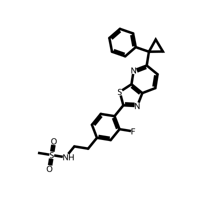 CS(=O)(=O)NCCc1ccc(-c2nc3ccc(C4(c5ccccc5)CC4)nc3s2)c(F)c1